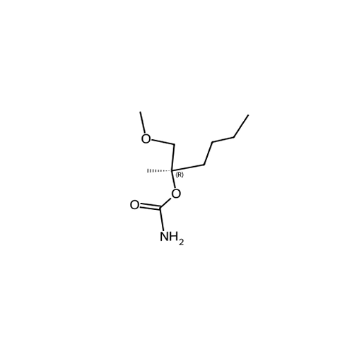 CCCC[C@](C)(COC)OC(N)=O